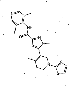 CC1=C(c2cc(C(=O)Nc3c(C)cncc3F)nn2C)CN(c2nccs2)CC1